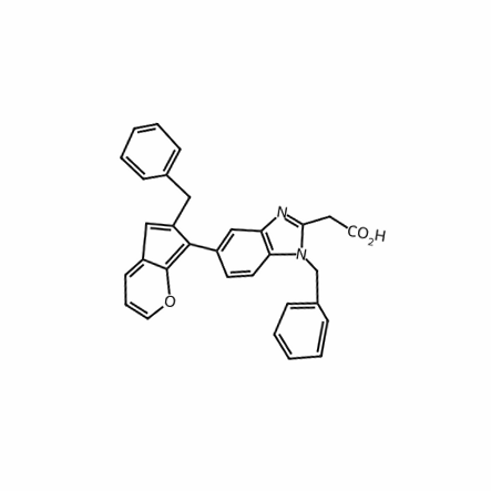 O=C(O)Cc1nc2cc(-c3c(Cc4ccccc4)cc4cccoc3-4)ccc2n1Cc1ccccc1